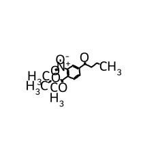 CCCC(=O)c1ccc(C(=O)OC(C)(C)C)c([N+](=O)[O-])c1